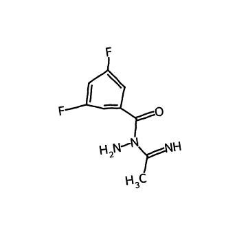 CC(=N)N(N)C(=O)c1cc(F)cc(F)c1